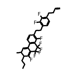 C=CCCc1ccc(CCc2ccc3c(c2F)C(F)(F)C(F)(F)C2=C(F)C(CCC)C(C)C=C23)c(F)c1F